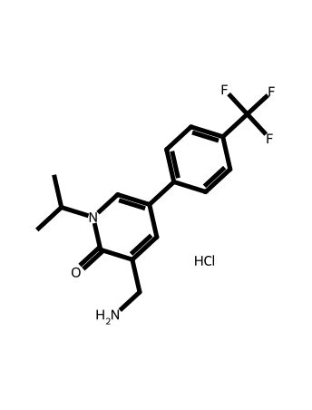 CC(C)n1cc(-c2ccc(C(F)(F)F)cc2)cc(CN)c1=O.Cl